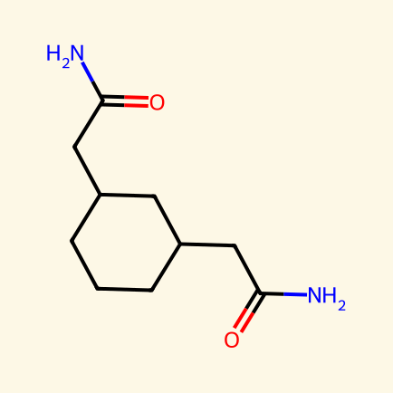 NC(=O)CC1CCCC(CC(N)=O)C1